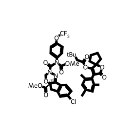 COC(=O)N(C(=O)N1CO[C@@]2(C(=O)OC)Cc3cc(Cl)ccc3C2=N1)c1ccc(OC(F)(F)F)cc1.Cc1cc(C)c(C2=C(OC(=O)CC(C)(C)C)C3(CCCC3)OC2=O)c(C)c1